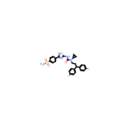 NS(=O)(=O)c1ccc(-c2nsc(NC(=O)N(CCC(c3ccc(F)cc3)c3ccc(F)cc3)C3CC3)n2)cc1